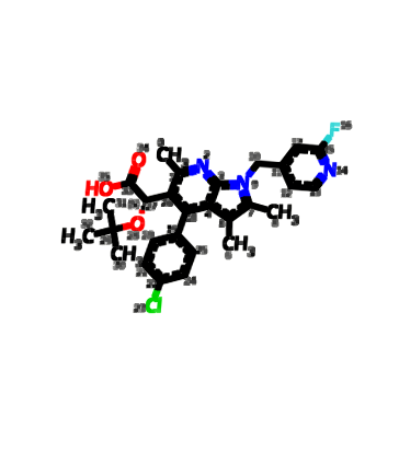 Cc1nc2c(c(C)c(C)n2Cc2ccnc(F)c2)c(-c2ccc(Cl)cc2)c1[C@H](OC(C)(C)C)C(=O)O